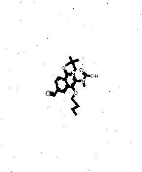 CCCCOc1c(N(C)C(=O)O)n(CC(C)(C)C)c(=O)c2ccc(C=O)cc12